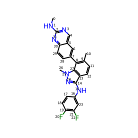 CNc1ncc2cc(-c3c(C)ccc4c(Nc5ccc(F)c(F)c5)nn(C)c34)ccc2n1